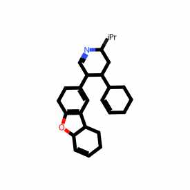 CC(C)C1CC(C2C=CCCC2)C(C2=CC3=C(CC2)OC2C=CCCC32)C=N1